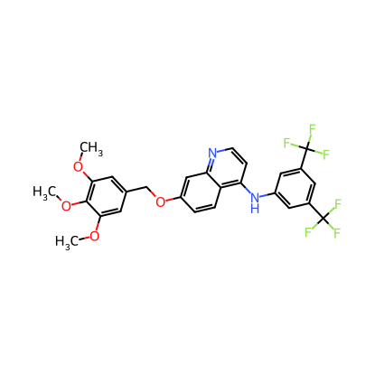 COc1cc(COc2ccc3c(Nc4cc(C(F)(F)F)cc(C(F)(F)F)c4)ccnc3c2)cc(OC)c1OC